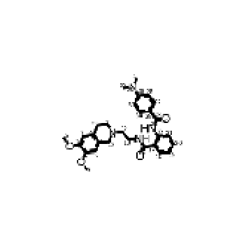 COc1cc2c(cc1OC)CN(CCNC(=O)c1ccccc1NC(=O)c1ccc(N(C)C)cc1)CC2